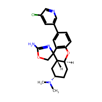 CN(C)[C@H]1CC[C@@H]2Oc3ccc(-c4cncc(Cl)c4)cc3C3(COC(N)=N3)[C@H]2C1